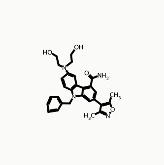 Cc1noc(C)c1-c1cc(C(N)=O)c2c3cc(N(CCO)CCO)ccc3n(Cc3ccccc3)c2c1